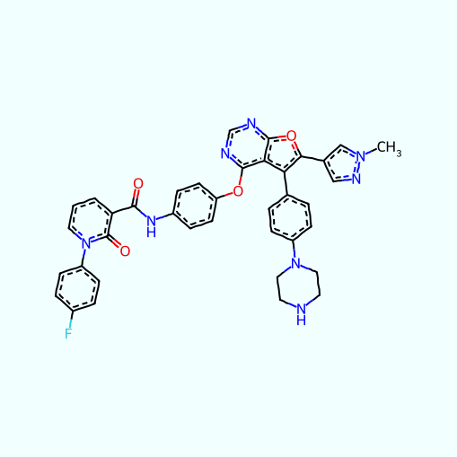 Cn1cc(-c2oc3ncnc(Oc4ccc(NC(=O)c5cccn(-c6ccc(F)cc6)c5=O)cc4)c3c2-c2ccc(N3CCNCC3)cc2)cn1